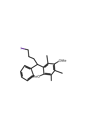 COc1c(C)c(C)c(OC)c(C(CCCI)c2ccccc2)c1C